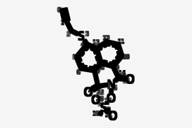 C#CCSc1ccc2c3c(cccc13)C(=O)N(OS(C)(=O)=O)C2=O